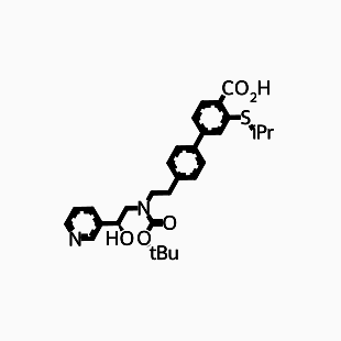 CC(C)Sc1cc(-c2ccc(CCN(C[C@@H](O)c3cccnc3)C(=O)OC(C)(C)C)cc2)ccc1C(=O)O